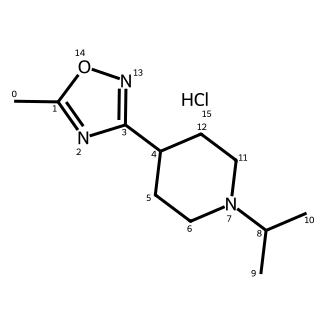 Cc1nc(C2CCN(C(C)C)CC2)no1.Cl